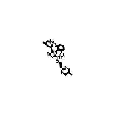 COc1cccc(OC)c1-n1c(NSCCc2ncc(C)cn2)nnc1-c1cncc(C)c1